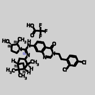 C[C@@H]1C(/N=C(/Nc2ccc3c(=O)n(CCc4ccc(Cl)cc4Cl)cnc3c2)N2CC[C@H](O)[C@H]2C)C[C@@H]2C[C@H]1C2(C)C.O=C(O)C(F)(F)F